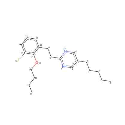 CCCCCc1cnc(CCc2cccc(F)c2OCCCC)nc1